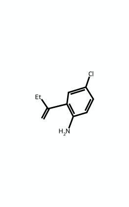 C=C(CC)c1cc(Cl)ccc1N